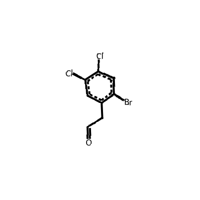 O=CCc1cc(Cl)c(Cl)cc1Br